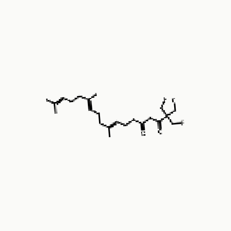 CC(C)=CCCC(C)=CCCC(C)=CCCC(=O)CC(=O)C(CF)(CF)CF